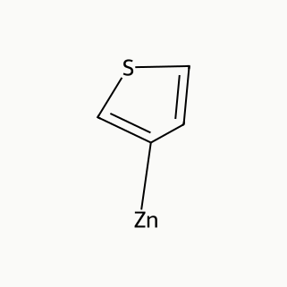 [Zn][c]1ccsc1